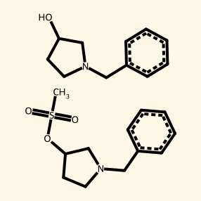 CS(=O)(=O)OC1CCN(Cc2ccccc2)C1.OC1CCN(Cc2ccccc2)C1